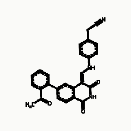 CC(=O)c1ccccc1-c1ccc2c(c1)/C(=C/Nc1ccc(CC#N)cc1)C(=O)NC2=O